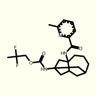 Cc1cccc(C(=O)NC23CCCC4CC2CC(NC(=O)OCC(C)(F)F)(C4)C3)n1